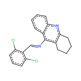 Clc1cccc(Cl)c1C=Nc1c2c(nc3ccccc13)CCCC2